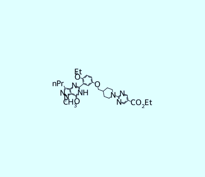 CCCc1nn(C)c2c(=O)[nH]c(-c3cc(OCC4CCN(c5ncc(C(=O)OCC)cn5)CC4)ccc3OCC)nc12